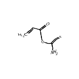 C=CC(=O)OC(N)=S